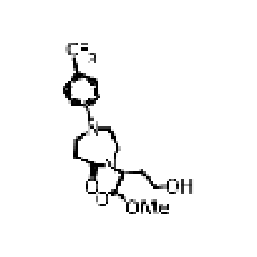 COC(=O)[C@H](CCO)N1CCN(c2ccc(C(F)(F)F)cc2)CCC1=O